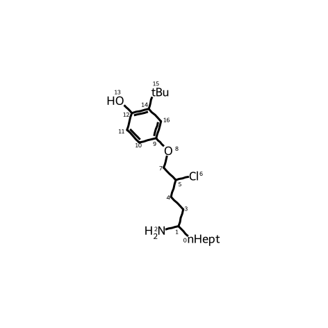 CCCCCCCC(N)CCC(Cl)COc1ccc(O)c(C(C)(C)C)c1